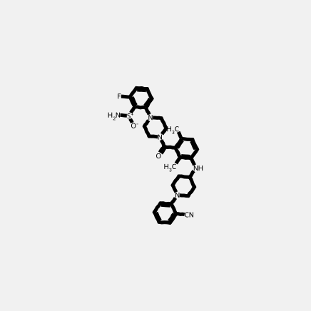 Cc1ccc(NC2CCN(c3ccccc3C#N)CC2)c(C)c1C(=O)N1CCN(c2cccc(F)c2[S+](N)[O-])CC1